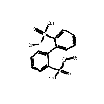 CCOP(=O)(O)c1ccccc1-c1ccccc1P(=O)(O)OCC